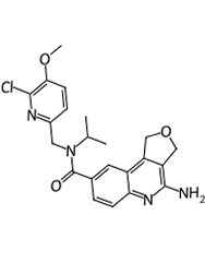 COc1ccc(CN(C(=O)c2ccc3nc(N)c4c(c3c2)COC4)C(C)C)nc1Cl